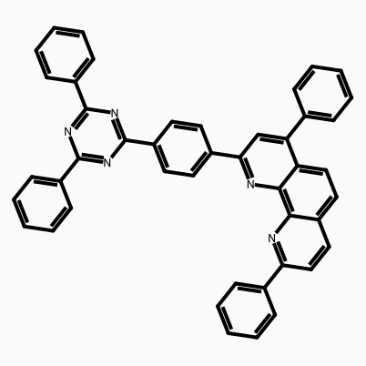 c1ccc(-c2ccc3ccc4c(-c5ccccc5)cc(-c5ccc(-c6nc(-c7ccccc7)nc(-c7ccccc7)n6)cc5)nc4c3n2)cc1